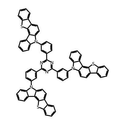 c1cc(-c2nc(-c3cccc(-n4c5ccccc5c5c6sc7ccccc7c6ccc54)c3)nc(-c3cccc(-n4c5ccccc5c5c6sc7ccccc7c6ccc54)c3)n2)cc(-n2c3ccccc3c3c4sc5ccccc5c4ccc32)c1